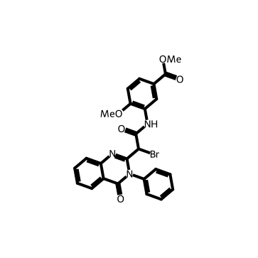 COC(=O)c1ccc(OC)c(NC(=O)C(Br)c2nc3ccccc3c(=O)n2-c2ccccc2)c1